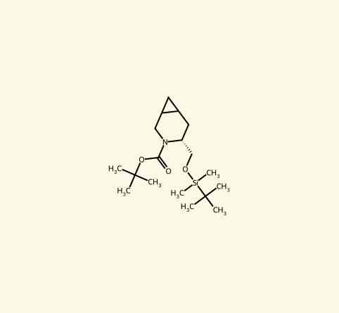 CC(C)(C)OC(=O)N1CC2CC2C[C@@H]1CO[Si](C)(C)C(C)(C)C